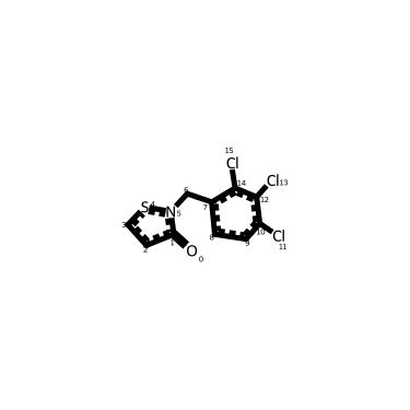 O=c1ccsn1Cc1ccc(Cl)c(Cl)c1Cl